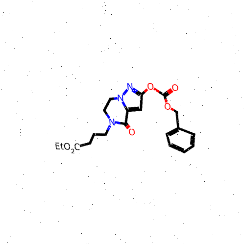 CCOC(=O)CCCN1CCn2nc(OC(=O)OCc3ccccc3)cc2C1=O